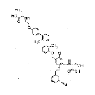 Cc1c(OCc2cc(OCc3cncc(C#N)c3)c(CNC(CO)C(=O)O)cc2Cl)cccc1-c1cccc(-c2ccc(OCCNC(CO)C(=O)O)cc2)c1C